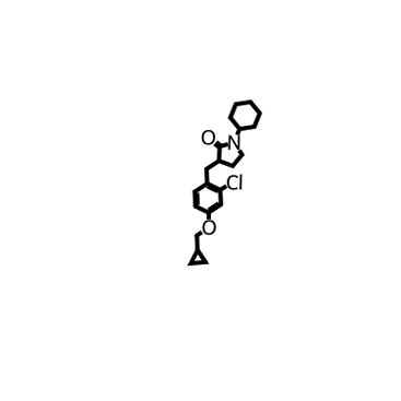 O=C1C(Cc2ccc(OCC3CC3)cc2Cl)CCN1C1CCCCC1